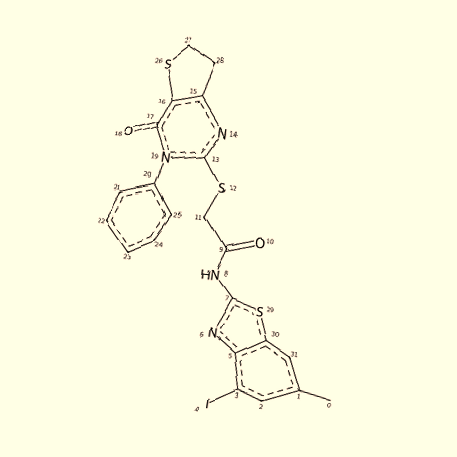 Cc1cc(I)c2nc(NC(=O)CSc3nc4c(c(=O)n3-c3ccccc3)SCC4)sc2c1